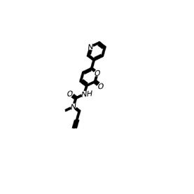 C#CCN(C)C(=O)Nc1ccc(-c2cccnc2)oc1=O